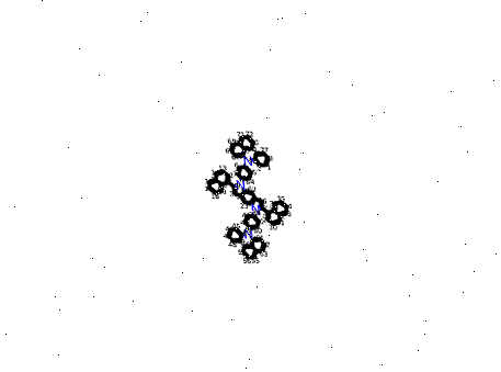 c1ccc(N(c2ccc(-n3c(-c4cccc5ccccc45)cc4cc5c(cc(-c6cccc7ccccc67)n5-c5ccc(N(c6ccccc6)c6cccc7ccccc67)cc5)cc43)cc2)c2cccc3ccccc23)cc1